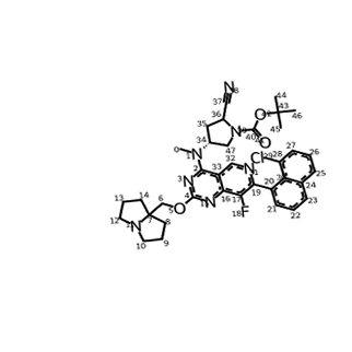 CN(c1nc(OCC23CCCN2CCC3)nc2c(F)c(-c3cccc4cccc(Cl)c34)ncc12)[C@@H]1CC(C#N)N(C(=O)OC(C)(C)C)C1